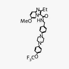 CCc1nc2ccc(OC)cn2c1C(=O)NCc1ccc(N2CCN(c3ccc(OC(F)(F)F)cc3)CC2)cc1